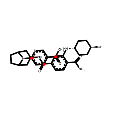 CC(=O)c1ccc(N2C3CCC2CC(NC(=O)c2ccc(C(N)=O)c(N[C@H]4CC[C@H](O)CC4)c2)C3)nc1